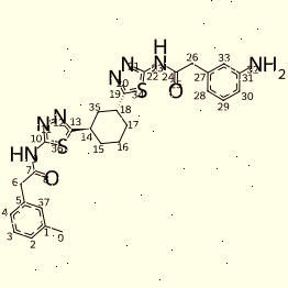 Cc1cccc(CC(=O)Nc2nnc([C@@H]3CCC[C@@H](c4nnc(NC(=O)Cc5cccc(N)c5)s4)C3)s2)c1